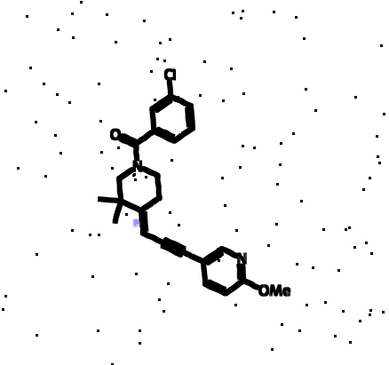 COc1ccc(C#C/C=C2\CCN(C(=O)c3cccc(Cl)c3)CC2(C)C)cn1